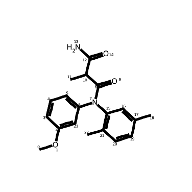 COc1cccc(N(C(=O)C(C)C(N)=O)c2cc(C)ccc2C)c1